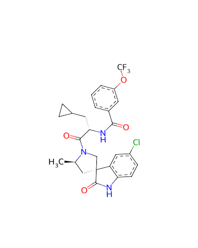 C[C@@H]1C[C@@]2(CN1C(=O)[C@H](CC1CC1)NC(=O)c1cccc(OC(F)(F)F)c1)C(=O)Nc1ccc(Cl)cc12